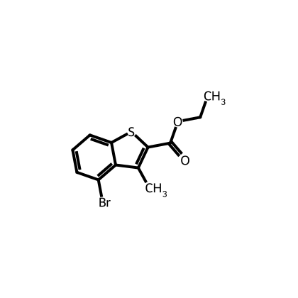 CCOC(=O)c1sc2cccc(Br)c2c1C